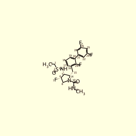 CC[S+]([O-])N[C@H]1[C@@H](F)CN(C(=O)NC)[C@H]1Cc1cccc(-c2cc(F)cc(F)c2)c1F